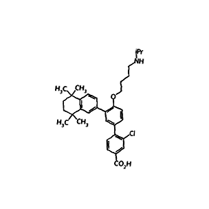 CC(C)NCCCCOc1ccc(-c2ccc(C(=O)O)cc2Cl)cc1-c1ccc2c(c1)C(C)(C)CCC2(C)C